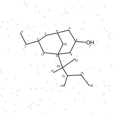 CCC1CC2CC(O)CC(C(C)(C)C(C)CC)(C1)C2